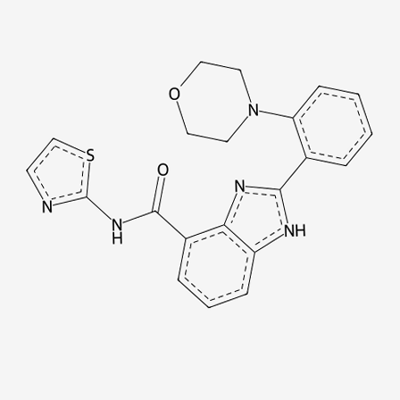 O=C(Nc1nccs1)c1cccc2[nH]c(-c3ccccc3N3CCOCC3)nc12